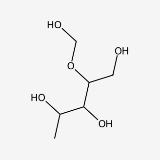 CC(O)C(O)C(CO)OCO